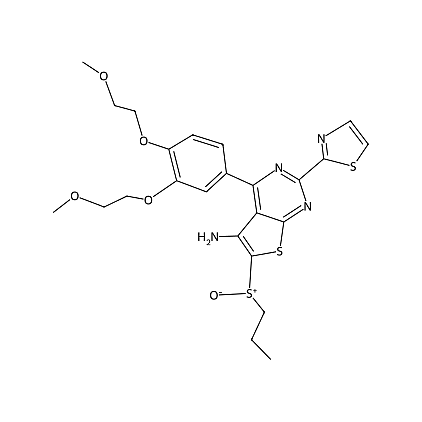 CCC[S+]([O-])c1sc2nc(-c3nccs3)nc(-c3ccc(OCCOC)c(OCCOC)c3)c2c1N